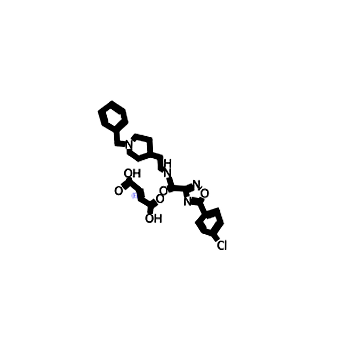 O=C(NCCC1CCN(Cc2ccccc2)CC1)c1noc(-c2ccc(Cl)cc2)n1.O=C(O)/C=C/C(=O)O